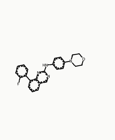 Fc1ccccc1-c1cccc2cnc(Nc3ccc(N4CCOCC4)cc3)nc12